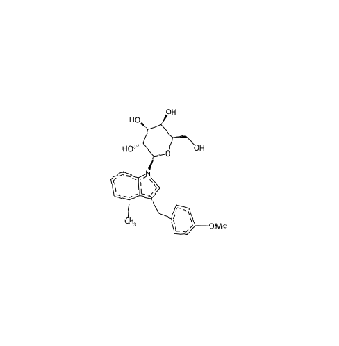 COc1ccc(Cc2cn([C@@H]3O[C@H](CO)[C@H](O)[C@H](O)[C@H]3O)c3cccc(C)c23)cc1